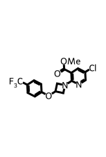 COC(=O)c1cc(Cl)cnc1N1CC(Oc2ccc(C(F)(F)F)cc2)C1